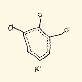 [K+].[O-]c1cccc(Cl)c1Cl